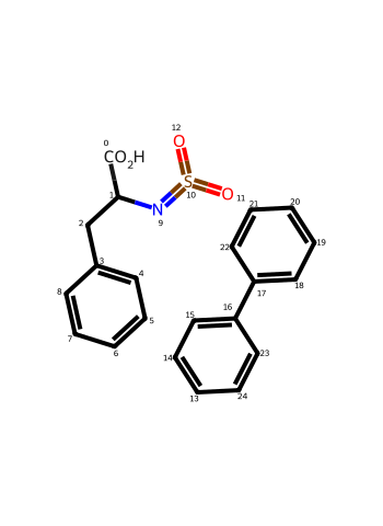 O=C(O)C(Cc1ccccc1)N=S(=O)=O.c1ccc(-c2ccccc2)cc1